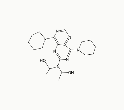 CC(O)N(c1nc(N2CCCCC2)c2ncnc(N3CCCCC3)c2n1)C(C)O